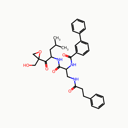 CC(C)CC(NC(=O)C(CNC(=O)CCc1ccccc1)NC(=O)c1cccc(-c2ccccc2)c1)C(=O)C1(CO)CO1